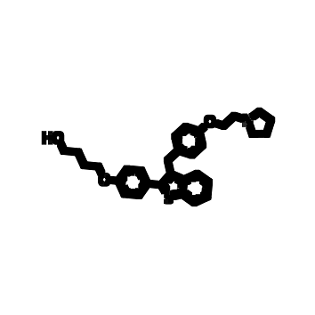 OCCCCOc1ccc(-c2sc3ccccc3c2Cc2ccc(OCCN3CCCC3)cc2)cc1